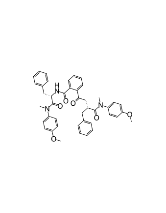 COc1ccc(N(C)C(=O)[C@@H](CC(=O)c2ccccc2C(=O)N[C@@H](Cc2ccccc2)C(=O)N(C)c2ccc(OC)cc2)Cc2ccccc2)cc1